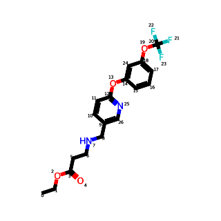 CCOC(=O)CCNCc1ccc(Oc2cccc(OC(F)(F)F)c2)nc1